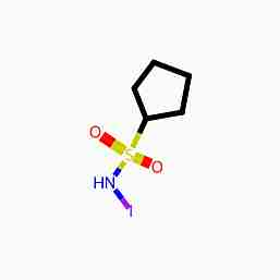 O=S(=O)(NI)C1CCCC1